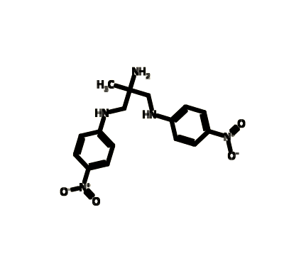 CC(N)(CNc1ccc([N+](=O)[O-])cc1)CNc1ccc([N+](=O)[O-])cc1